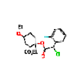 CCOC(=O)C1(OC(=O)C(Cl)c2ccccc2F)CCC(OCC)CC1